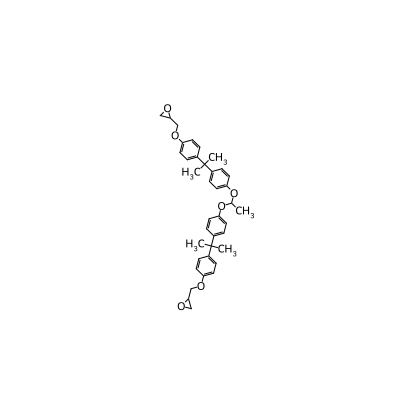 CC(Oc1ccc(C(C)(C)c2ccc(OCC3CO3)cc2)cc1)Oc1ccc(C(C)(C)c2ccc(OCC3CO3)cc2)cc1